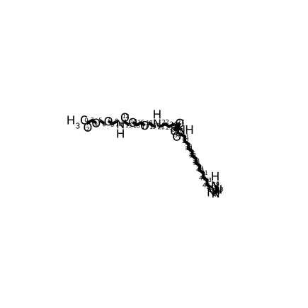 CC(=O)COCCOCCNC(=O)COCCOCCNCCCCS(=O)(=O)NC(=O)CCCCCCCCCCCCCCc1nnn[nH]1